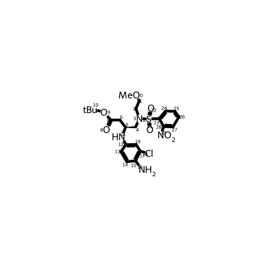 COCCN(C[C@H](CC(=O)OC(C)(C)C)Nc1ccc(N)c(Cl)c1)S(=O)(=O)c1ccccc1[N+](=O)[O-]